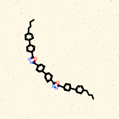 CCCCc1ccc(-c2ccc(-c3nnc(-c4ccc(-c5ccc(-c6nnc(-c7ccc(-c8ccc(CCCC)cc8)cc7)o6)cc5)cc4)o3)cc2)cc1